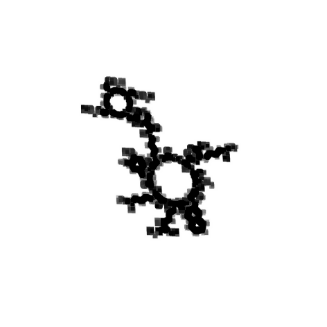 CC(C)NCCCC[C@H](NC(=O)[C@H]1CCC(=O)N[C@@H](CCCCNC(=O)C(CS(=O)(=O)O)NC(=O)CN2CCN(CC(=O)O)CCN(CC(=O)O)CCN(CC(=O)O)CC2)C(=O)N[C@@H](Cc2ccc(O)c(I)c2)C(=O)N[C@@H](CCCCNC(C)C)C(=O)N[C@H](CCCNC(=N)N)C(=O)N[C@@H](Cc2ccc3ccccc3c2)C(=O)N[C@H](C)C(=O)N1)C(N)=O